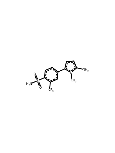 Cn1c(N)ccc1-c1ccc(S(N)(=O)=O)c(C(F)(F)F)c1